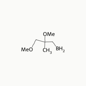 BCC(C)(COC)OC